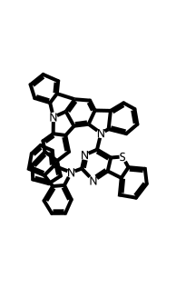 c1ccc2cc3c(cc2c1)c1c2c(cc4c5ccccc5n3c41)c1ccccc1n2-c1nc(-n2c3ccccc3c3ccccc32)nc2c1sc1ccccc12